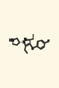 CCc1nn([C@@H]2CCNC2)c(CC)c1Sc1ccc(F)cc1